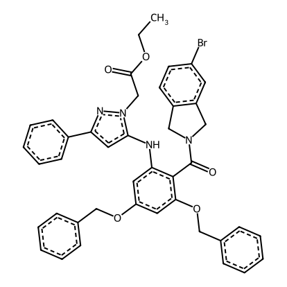 CCOC(=O)Cn1nc(-c2ccccc2)cc1Nc1cc(OCc2ccccc2)cc(OCc2ccccc2)c1C(=O)N1Cc2ccc(Br)cc2C1